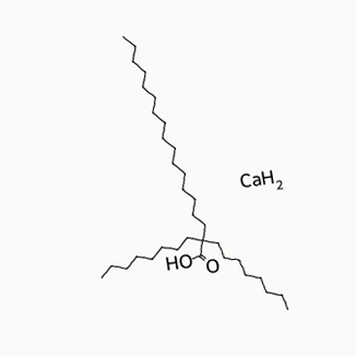 CCCCCCCCCCCCCCCCC(CCCCCCCC)(CCCCCCCC)C(=O)O.[CaH2]